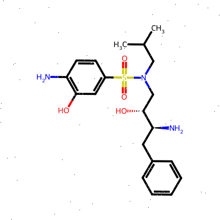 CC(C)CN(C[C@@H](O)[C@@H](N)Cc1ccccc1)S(=O)(=O)c1ccc(N)c(O)c1